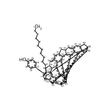 CCCCCCCCCCCC1N(c2ccc(O)cc2)CC2C3=c4c5c6c7c8c9c(cc%10c%11c%12c%13c%14c(cc%15c%16c(c4c6c(c%16%14)c%13c7c%119)=C(C3)C%15)=CC%12C%10)=CC3CC21C=5C83